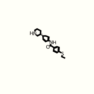 CCSc1ccc(C(=O)NC2=CCC([C@@H]3CCCNC3)C=C2)cc1